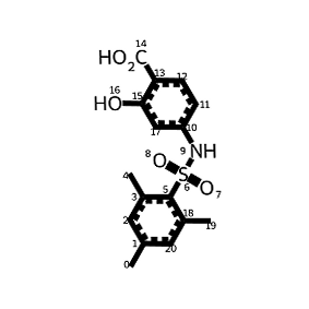 Cc1cc(C)c(S(=O)(=O)Nc2ccc(C(=O)O)c(O)c2)c(C)c1